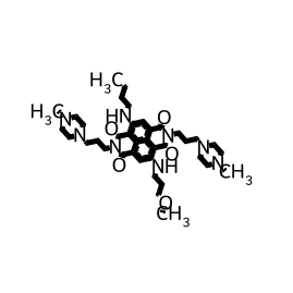 CCCCNc1cc2c3c(c(NCCCOC)cc4c3c1C(=O)N(CCCN1CCN(C)CC1)C4=O)C(=O)N(CCCN1CCN(C)CC1)C2=O